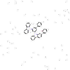 N#Cc1ccccc1-c1cc(-n2c3ccccc3c3ccccc32)cc(-n2c3ccccc3c3ccc4c5ccccc5oc4c32)c1